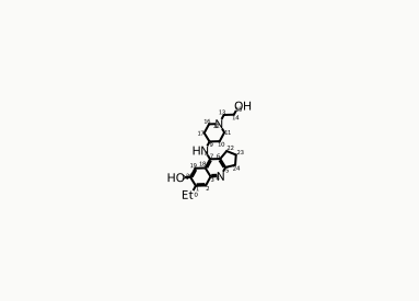 CCc1cc2nc3c(c(NC4CCN(CCO)CC4)c2cc1O)CCC3